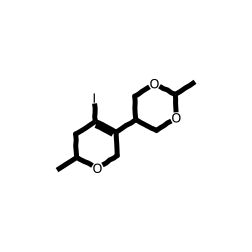 CC1CC(I)=C(C2COC(C)OC2)CO1